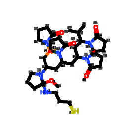 COC1(NCCCS)CCCN1C(CPN1CCCC1=O)CC(CC(CC(C(C)C)N1CCCC1=O)N1CCCC1=O)N1CCCC1=O